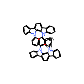 N#Cc1c(-n2c3ccccc3c3ccc4c5ccccc5n(-c5ccccc5)c4c32)ccc(-n2c3ccccc3c3ccc4c5ccccc5n(-c5ccccc5)c4c32)c1C#N